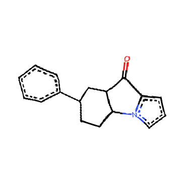 O=C1c2cccn2C2CCC(c3ccccc3)CC12